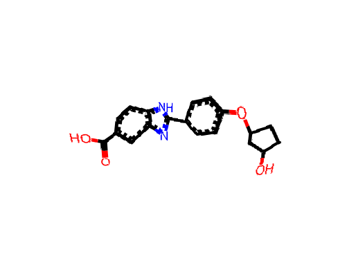 O=C(O)c1ccc2[nH]c(-c3ccc(OC4CCC(O)C4)cc3)nc2c1